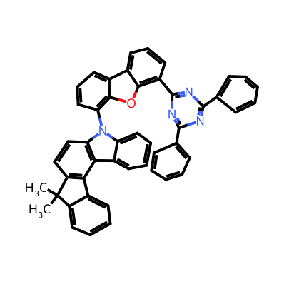 CC1(C)c2ccccc2-c2c1ccc1c2c2ccccc2n1-c1cccc2c1oc1c(-c3nc(-c4ccccc4)nc(-c4ccccc4)n3)cccc12